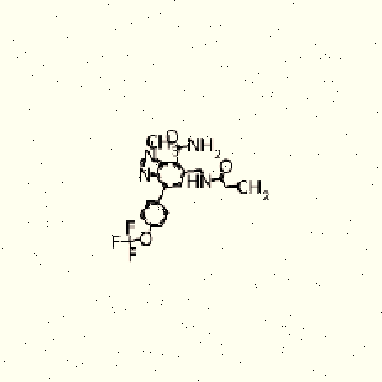 C=CC(=O)NCc1cc(-c2ccc(OC(F)(F)F)cc2)c2ncn(C)c2c1C(N)=O